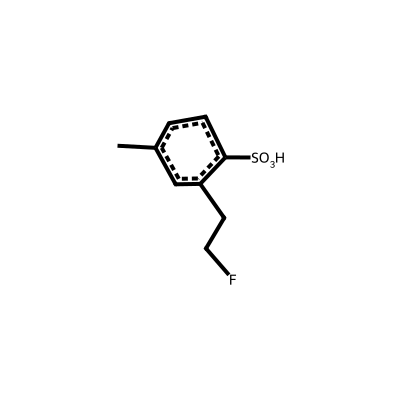 Cc1ccc(S(=O)(=O)O)c(CCF)c1